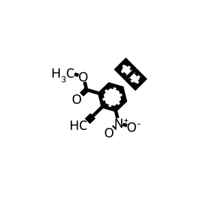 C#Cc1c(C(=O)OC)cccc1[N+](=O)[O-].c1cc2ccc1-2